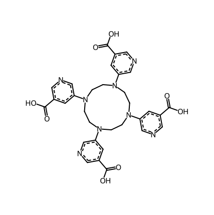 O=C(O)c1cncc(N2CCN(c3cncc(C(=O)O)c3)CCN(c3cncc(C(=O)O)c3)CCN(c3cncc(C(=O)O)c3)CC2)c1